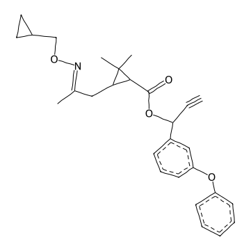 C#CC(OC(=O)C1C(CC(C)=NOCC2CC2)C1(C)C)c1cccc(Oc2ccccc2)c1